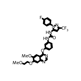 COCCOc1cc2ncnc(Oc3cccc(NC(=O)Nc4cc(C(F)(F)F)nn4-c4ccc(F)cc4)c3)c2cc1OC